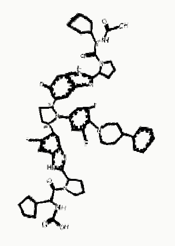 O=C(O)NC(C(=O)N1CCCC1c1nc2cc([C@H]3CC[C@@H](c4cc5nc(C6CCCN6C(=O)[C@@H](NC(=O)O)C6CCCC6)[nH]c5cc4F)N3c3cc(F)c(N4CCC(c5ccccc5)CC4)c(F)c3)c(F)cc2[nH]1)C1CCCC1